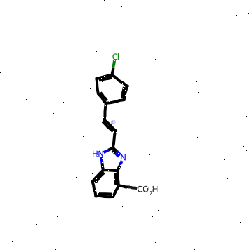 O=C(O)c1cccc2[nH]c(/C=C/c3ccc(Cl)cc3)nc12